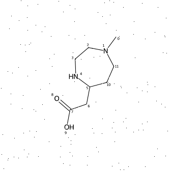 CN1CCNC(CC(=O)O)CC1